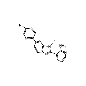 N#Cc1ccc(-c2ccc3nc(-c4cccnc4N)n(Cl)c3n2)nc1